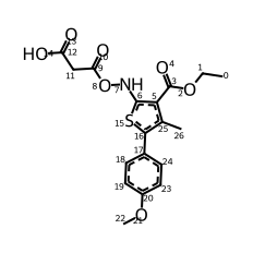 CCOC(=O)c1c(NOC(=O)CC(=O)O)sc(-c2ccc(OC)cc2)c1C